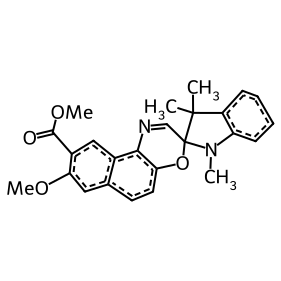 COC(=O)c1cc2c3c(ccc2cc1OC)OC1(C=N3)N(C)c2ccccc2C1(C)C